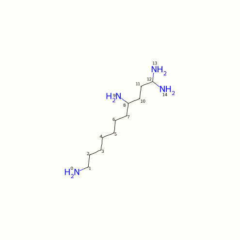 NCCCCCCCC(N)CCC(N)N